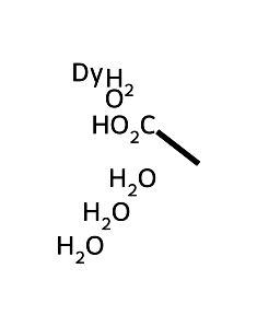 CC(=O)O.O.O.O.O.[Dy]